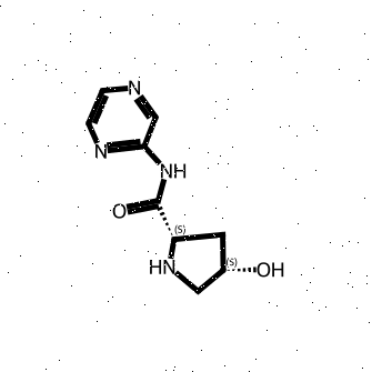 O=C(Nc1cnccn1)[C@@H]1C[C@H](O)CN1